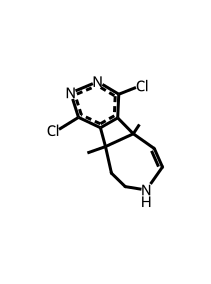 CC12C=CNCCC1(C)c1c(Cl)nnc(Cl)c12